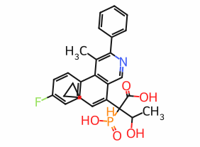 Cc1c(-c2ccccc2)ncc(C(=CC2CC2)C(C(=O)O)(C(C)O)[PH](=O)O)c1-c1ccc(F)cc1